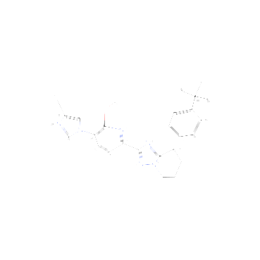 COc1nc(-c2nc3n(n2)CCC[C@H]3c2ccc(C(C)(C)C)cc2)ccc1-n1cnc(C)c1